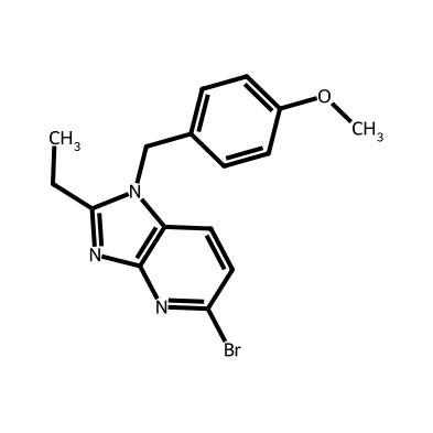 CCc1nc2nc(Br)ccc2n1Cc1ccc(OC)cc1